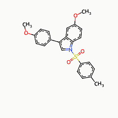 COc1ccc(-c2cn(S(=O)(=O)c3ccc(C)cc3)c3ccc(OC)cc23)cc1